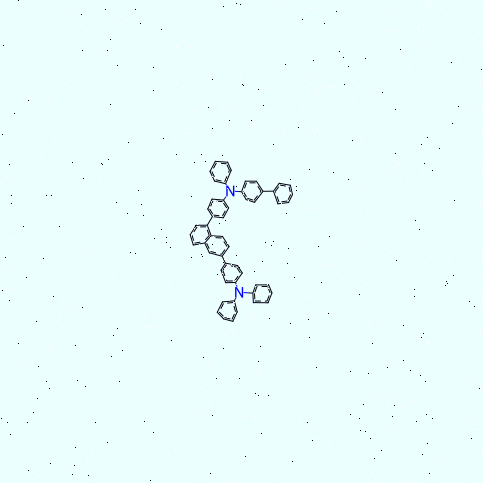 c1ccc(-c2ccc(N(c3ccccc3)c3ccc(-c4cccc5cc(-c6ccc(N(c7ccccc7)c7ccccc7)cc6)ccc45)cc3)cc2)cc1